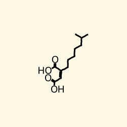 CC(C)CCCCCC(=CC(=O)O)C(=O)O